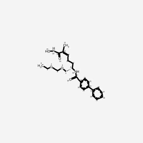 CCOCOC[C@H](CCC=C(C)C(=O)NO)NC(=O)c1ccc(-c2ccccc2)cc1